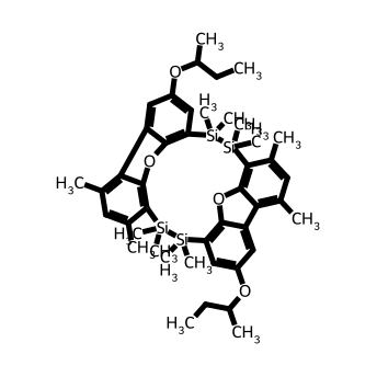 CCC(C)Oc1cc2c3oc4c(c(C)cc(C)c4c3c1)[Si](C)(C)[Si](C)(C)c1cc(OC(C)CC)cc3c1oc1c(c(C)cc(C)c13)[Si](C)(C)[Si]2(C)C